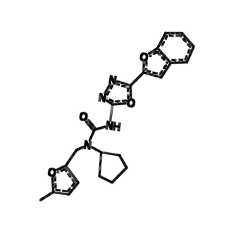 Cc1ccc(CN(C(=O)Nc2nnc(-c3cc4ccccc4o3)o2)C2CCCC2)o1